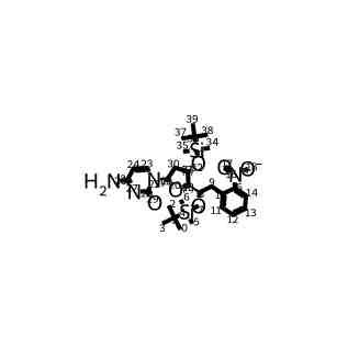 CC(C)(C)[Si](C)(C)OC(Cc1ccccc1[N+](=O)[O-])[C@H]1O[C@@H](n2ccc(N)nc2=O)C[C@@H]1O[Si](C)(C)C(C)(C)C